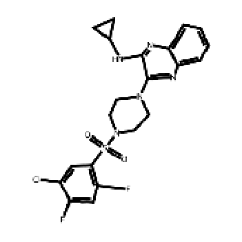 O=S(=O)(c1cc(Cl)c(F)cc1F)N1CCN(c2nc3ccccc3nc2NC2CC2)CC1